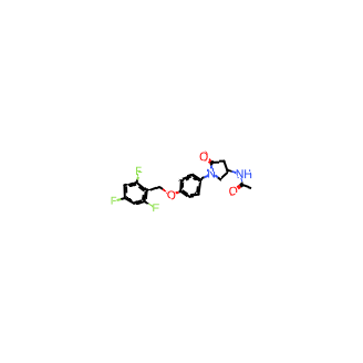 CC(=O)NC1CC(=O)N(c2ccc(OCc3c(F)cc(F)cc3F)cc2)C1